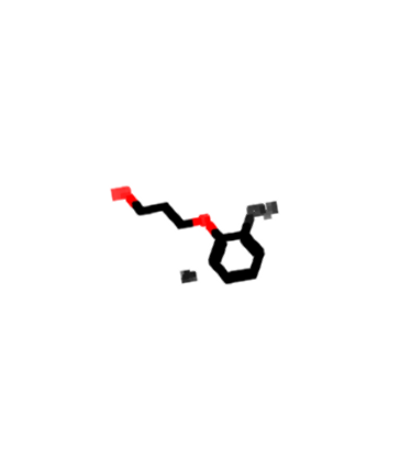 O=C(O)c1ccccc1OCCCO.[Zn]